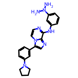 NN(N)c1cccc(Nc2nccn3c(-c4cccc(N5CCCC5)c4)cnc23)c1